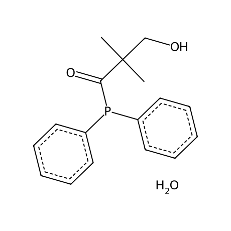 CC(C)(CO)C(=O)P(c1ccccc1)c1ccccc1.O